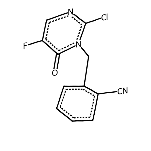 N#Cc1ccccc1Cn1c(Cl)ncc(F)c1=O